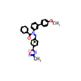 COc1ccc(-c2cccc(N(CC34CCC(c5nc(C)no5)(CC3)CC4)C(=O)C3CCCCC3)c2)cc1